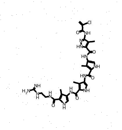 C=C(Cl)C(=O)Nc1n[nH]c(C(=O)Nc2c[nH]c(C(=O)Nc3c[nH]c(C(=O)Nc4c[nH]c(C(=O)NCCNC(=N)N)c4C)c3C)c2C)c1C